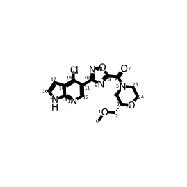 COC[C@@H]1CN(C(=O)c2nc(-c3cnc4[nH]ccc4c3Cl)no2)CCO1